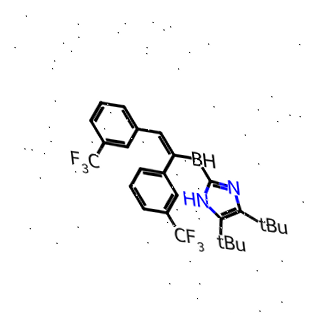 CC(C)(C)c1nc(BC(=Cc2cccc(C(F)(F)F)c2)c2cccc(C(F)(F)F)c2)[nH]c1C(C)(C)C